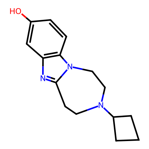 Oc1ccc2c(c1)nc1n2CCN(C2CCC2)CC1